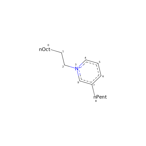 CCCCCCCCCC[n+]1cccc(CCCCC)c1